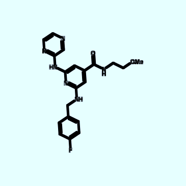 COCCNC(=O)c1cc(NCc2ccc(F)cc2)nc(Nc2cnccn2)c1